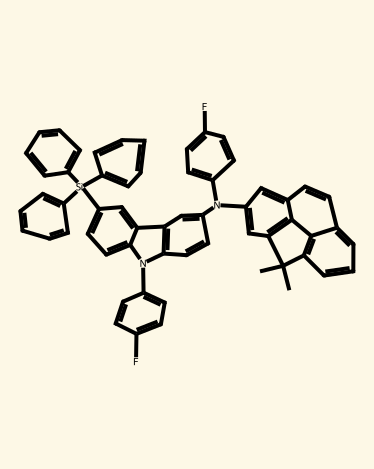 CC1(C)c2cccc3ccc4cc(N(c5ccc(F)cc5)c5ccc6c(c5)c5cc([Si](c7ccccc7)(c7ccccc7)c7ccccc7)ccc5n6-c5ccc(F)cc5)cc1c4c23